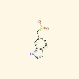 O=[SH](=O)Cc1ccc2cc[nH]c2c1